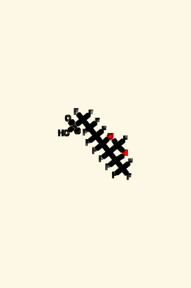 O=S(=O)(O)C(F)(F)C(F)(F)C(F)(F)C(F)(F)C(F)(C(F)(F)F)C(F)(F)C(F)(F)F